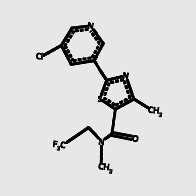 Cc1nc(-c2cncc(Cl)c2)sc1C(=O)N(C)CC(F)(F)F